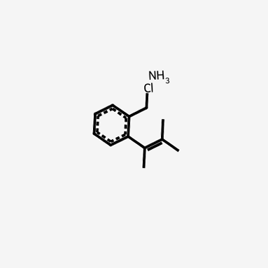 CC(C)=C(C)c1ccccc1CCl.N